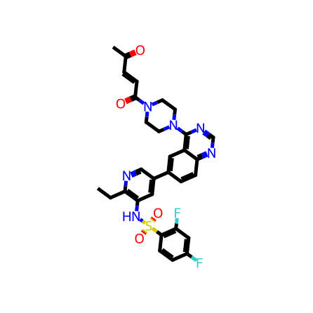 CCc1ncc(-c2ccc3ncnc(N4CCN(C(=O)/C=C/C(C)=O)CC4)c3c2)cc1NS(=O)(=O)c1ccc(F)cc1F